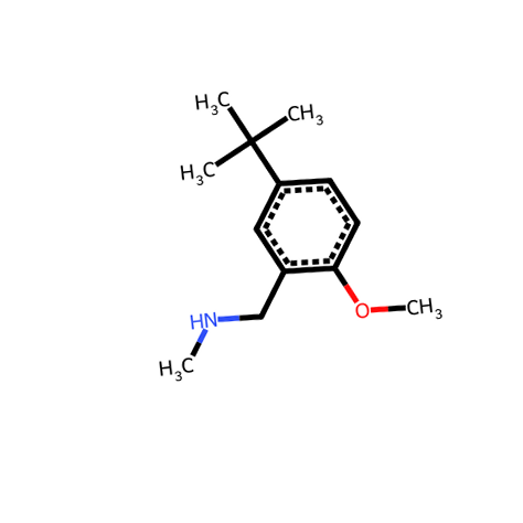 CNCc1cc(C(C)(C)C)ccc1OC